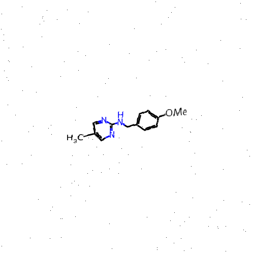 COc1ccc(CNc2ncc(C)cn2)cc1